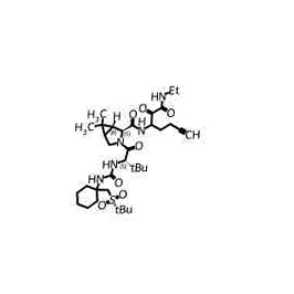 C#CCCC(NC(=O)[C@@H]1[C@@H]2C(CN1C(=O)[C@@H](NC(=O)NC1(CS(=O)(=O)C(C)(C)C)CCCCC1)C(C)(C)C)C2(C)C)C(=O)C(=O)NCC